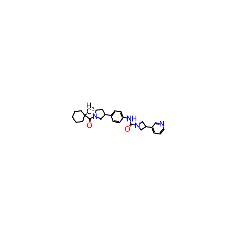 CC1(C(=O)N2CCC(c3ccc(NC(=O)N4CC(c5cccnc5)C4)cc3)C2)CCCCC1